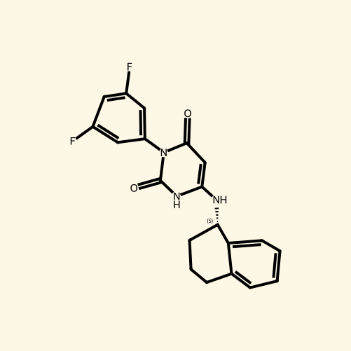 O=c1cc(N[C@H]2CCCc3ccccc32)[nH]c(=O)n1-c1cc(F)cc(F)c1